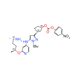 C[C@H](N)CC[C@H](C)Oc1cc(Nc2cc([C@H]3CC[C@@H](OC(=O)Oc4ccc([N+](=O)[O-])cc4)C3)nn2C(C)(C)C)ccn1